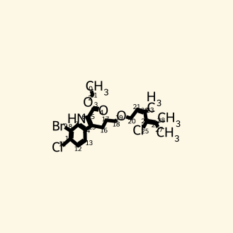 CCOC(=O)c1[nH]c2c(Br)c(Cl)ccc2c1CCCOCC=C(C)C(Cl)=C(C)C